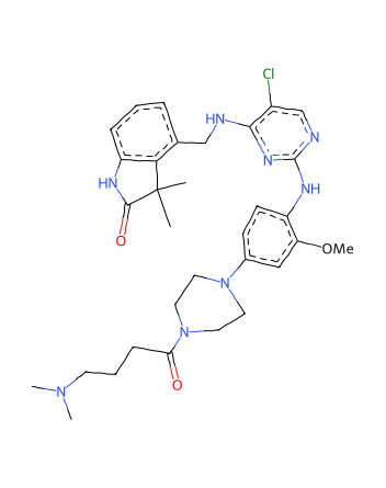 COc1cc(N2CCN(C(=O)CCCN(C)C)CC2)ccc1Nc1ncc(Cl)c(NCc2cccc3c2C(C)(C)C(=O)N3)n1